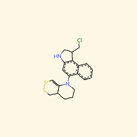 ClCC1CNc2cc(N3CCCC4CSSC=C43)c3ccccc3c21